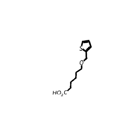 O=C(O)CCCCCOCc1cccs1